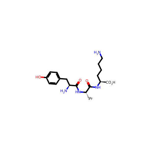 CC(C)[C@H](NC(=O)[C@@H](N)Cc1ccc(O)cc1)C(=O)N[C@@H](CCCCN)C(=O)O